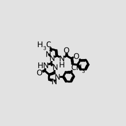 Cc1cccc(-n2ncc3c(=O)[nH]c(-n4nc(C)cc4NC(=O)c4cc5ccccc5o4)nc32)c1